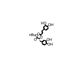 CCCCOC(=O)[C@@H](Cc1ccc(O)c(O)c1)OC(=O)/C=C/c1ccc(O)c(O)c1